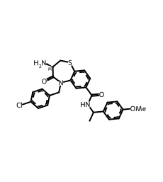 COc1ccc(C(C)NC(=O)c2ccc3c(c2)N(Cc2ccc(Cl)cc2)C(=O)[C@@H](N)CS3)cc1